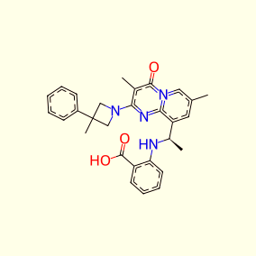 Cc1cc([C@@H](C)Nc2ccccc2C(=O)O)c2nc(N3CC(C)(c4ccccc4)C3)c(C)c(=O)n2c1